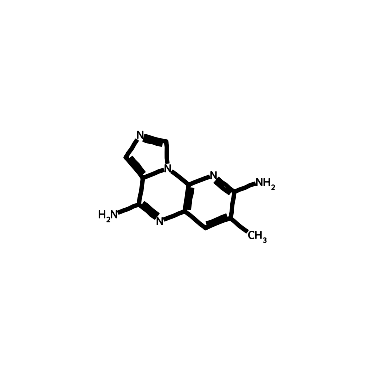 Cc1cc2nc(N)c3cncn3c2nc1N